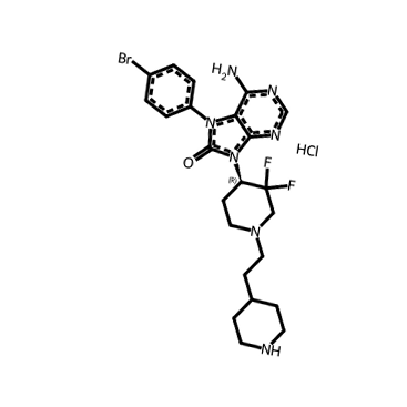 Cl.Nc1ncnc2c1n(-c1ccc(Br)cc1)c(=O)n2[C@@H]1CCN(CCC2CCNCC2)CC1(F)F